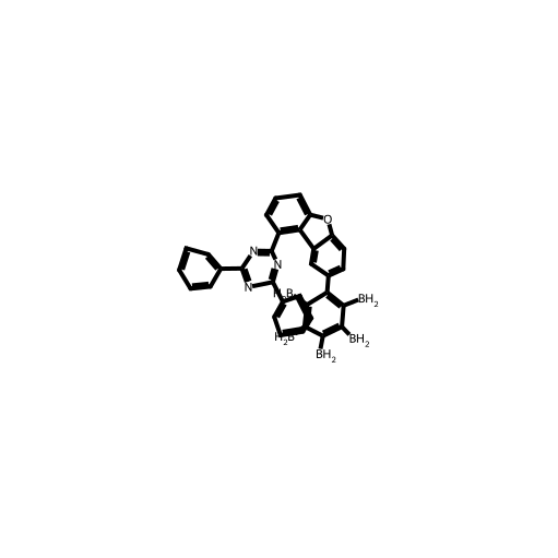 Bc1c(B)c(B)c(-c2ccc3oc4cccc(-c5nc(-c6ccccc6)nc(-c6ccccc6)n5)c4c3c2)c(B)c1B